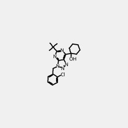 CC(C)(C)c1nc(C2(O)CCCCC2)c2nnn(Cc3ccccc3Cl)c2n1